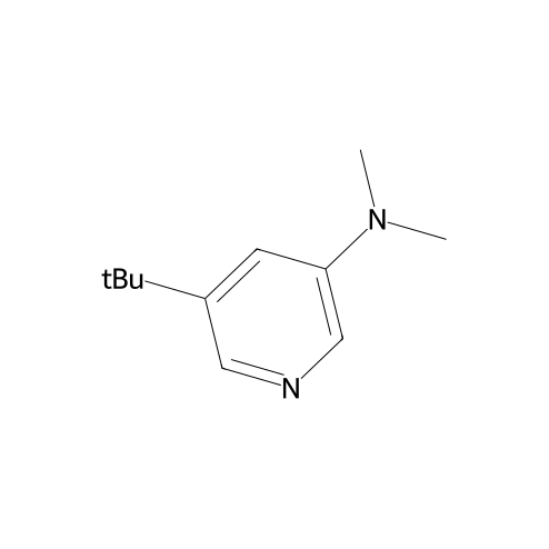 CN(C)c1cncc(C(C)(C)C)c1